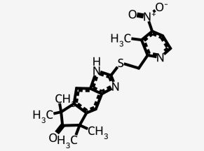 Cc1c([N+](=O)[O-])ccnc1CSc1nc2cc3c(cc2[nH]1)C(C)(C)C(=O)C3(C)C